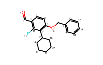 O=Cc1ccc(OCc2ccccc2)c(C2CCCCC2)c1F